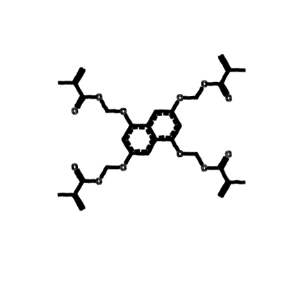 C=C(C)C(=O)OCOc1cc(OCOC(=O)C(=C)C)c2cc(OCOC(=O)C(=C)C)cc(OCOC(=O)C(=C)C)c2c1